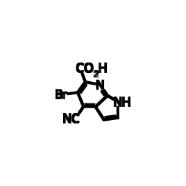 N#Cc1c(Br)c(C(=O)O)nc2[nH]ccc12